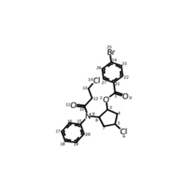 O=C(OC1CC(Cl)CC1N(C(=O)CCCl)c1ccccc1)c1ccc(Br)cc1